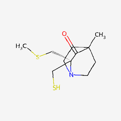 CSC[C@]1(CS)C(=O)C2(C)CCN1CC2